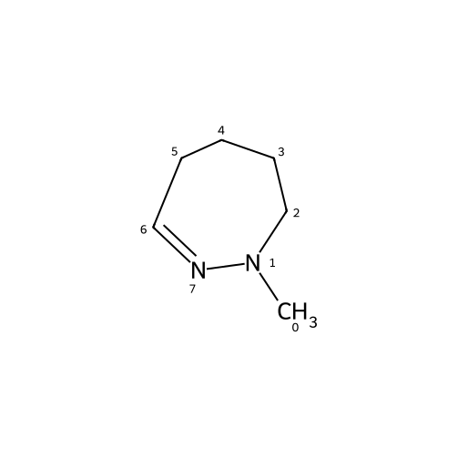 CN1CCCCC=N1